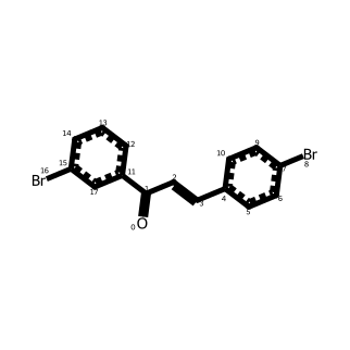 O=C(/C=C/c1ccc(Br)cc1)c1cccc(Br)c1